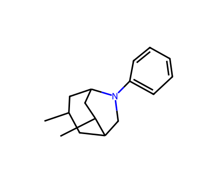 CC1CC2CN(c3ccccc3)C(C1)CC2C